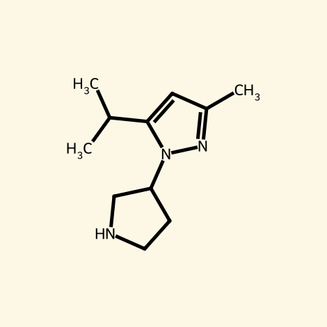 Cc1cc(C(C)C)n(C2CCNC2)n1